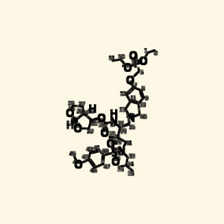 CCOP(=O)(COc1ccc2c(c1)CN(C[C@H](NC(=O)O[C@H]1CO[C@H]3OCC[C@H]31)[C@H](C)CN(CC(C)C)S(=O)(=O)c1ccc(OC)cc1)C2)OCC